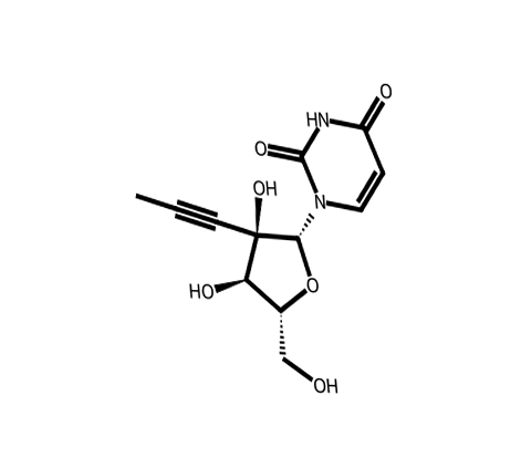 CC#C[C@@]1(O)[C@H](O)[C@@H](CO)O[C@H]1n1ccc(=O)[nH]c1=O